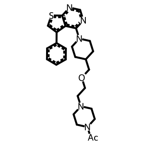 CC(=O)N1CCN(CCOCC2CCN(c3ncnc4scc(-c5ccccc5)c34)CC2)CC1